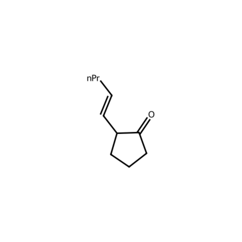 CCCC=CC1CCCC1=O